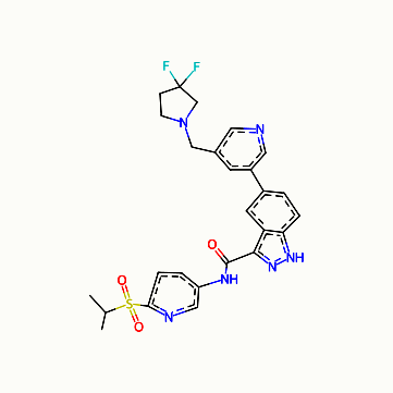 CC(C)S(=O)(=O)c1ccc(NC(=O)c2n[nH]c3ccc(-c4cncc(CN5CCC(F)(F)C5)c4)cc23)cn1